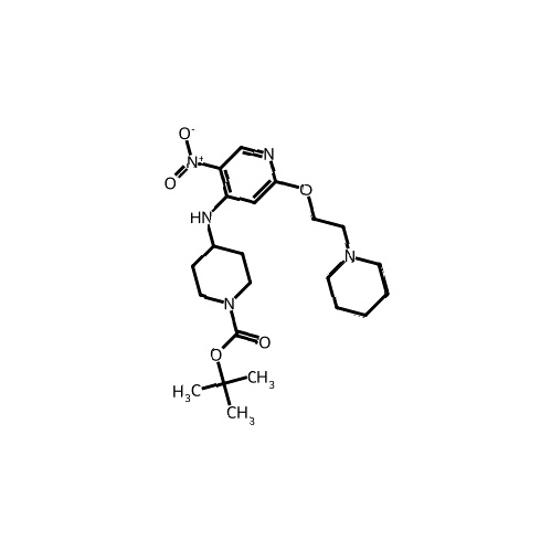 CC(C)(C)OC(=O)N1CCC(Nc2cc(OCCN3CCCCC3)ncc2[N+](=O)[O-])CC1